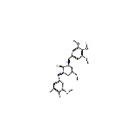 CCC1C/C(=C\c2cc(C)c(C)c(OC)c2)C(=O)/C(=C/c2cc(OC)c(OC)c(OC)c2)C1